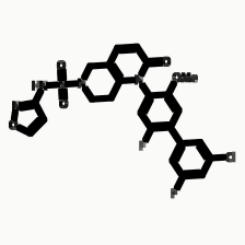 COc1cc(-c2cc(F)cc(Cl)c2)c(F)cc1-n1c2c(ccc1=O)CN(S(=O)(=O)Nc1ccon1)CC2